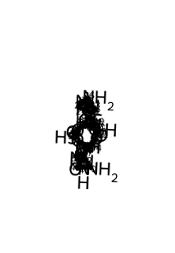 Nc1nc2c(ncn2[C@@H]2C[C@@H]3COP(=O)(S)O[C@H]4[C@@H](F)[C@H](n5cnc6c(N)ncnc65)O[C@@H]4COP(=O)(S)OC[C@H]32)c(=O)[nH]1